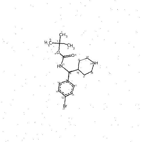 CC(C)(C)OC(=O)NC(c1ccc(Br)cc1)C1CCNCC1